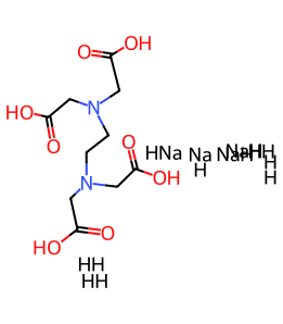 O=C(O)CN(CCN(CC(=O)O)CC(=O)O)CC(=O)O.[HH].[HH].[HH].[HH].[NaH].[NaH].[NaH].[NaH]